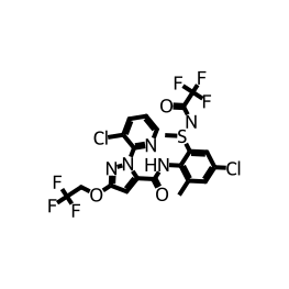 Cc1cc(Cl)cc(S(C)=NC(=O)C(F)(F)F)c1NC(=O)c1cc(OCC(F)(F)F)nn1-c1ncccc1Cl